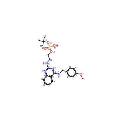 COc1ccc(CNc2nc(NCCOP(=O)(O)OC(C)(C)C)nc3ccccc23)cc1